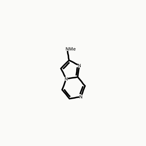 CNc1cn2ccncc2n1